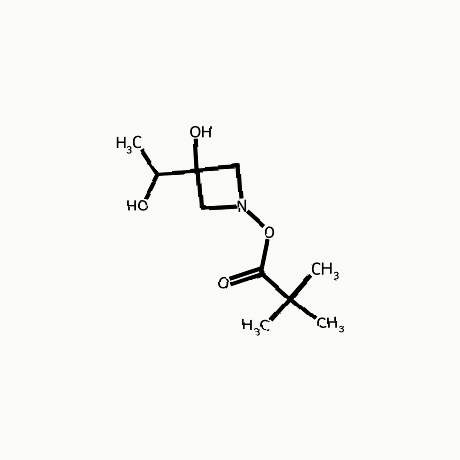 CC(O)C1(O)CN(OC(=O)C(C)(C)C)C1